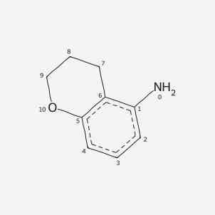 Nc1cccc2c1CCCO2